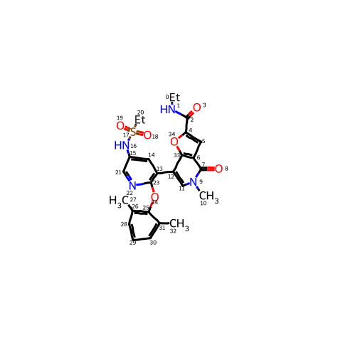 CCNC(=O)c1cc2c(=O)n(C)cc(-c3cc(NS(=O)(=O)CC)cnc3Oc3c(C)cccc3C)c2o1